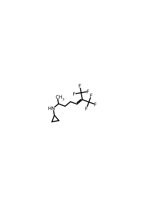 CC(CCC=C(C(F)(F)F)C(F)(F)F)NC1CC1